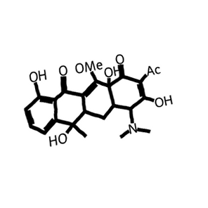 COC1=C2C(=O)c3c(O)cccc3C(C)(O)C2CC2C(N(C)C)C(O)=C(C(C)=O)C(=O)C12O